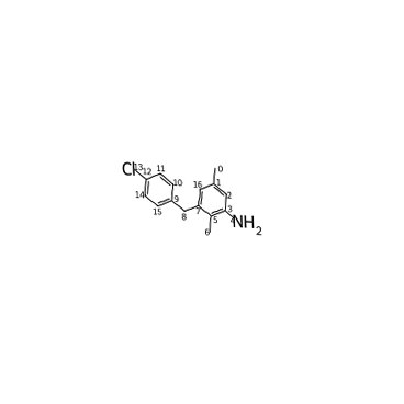 Cc1cc(N)c(C)c(Cc2ccc(Cl)cc2)c1